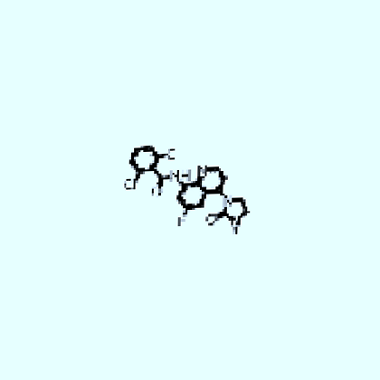 CN1CCN(c2ccnc3c(NC(=O)c4c(Cl)cccc4Cl)cc(F)cc23)C1=O